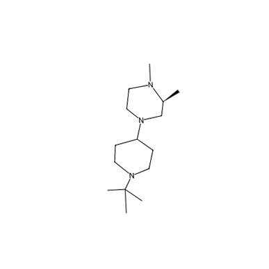 C[C@H]1CN(C2CCN(C(C)(C)C)CC2)CCN1C